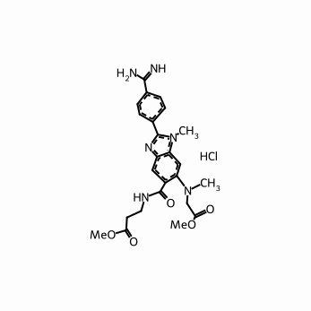 COC(=O)CCNC(=O)c1cc2nc(-c3ccc(C(=N)N)cc3)n(C)c2cc1N(C)CC(=O)OC.Cl